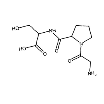 NCC(=O)N1CCCC1C(=O)NC(CO)C(=O)O